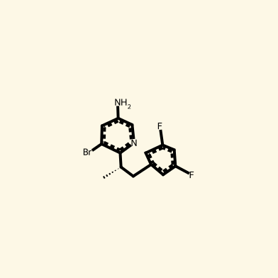 C[C@@H](Cc1cc(F)cc(F)c1)c1ncc(N)cc1Br